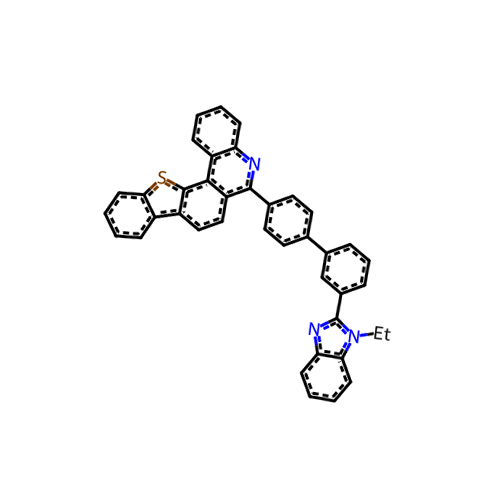 CCn1c(-c2cccc(-c3ccc(-c4nc5ccccc5c5c4ccc4c6ccccc6sc45)cc3)c2)nc2ccccc21